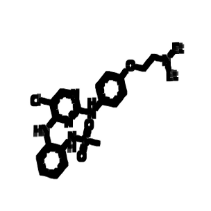 CCN(CC)CCOc1ccc(Nc2ncc(Cl)c(Nc3ccccc3NS(C)(=O)=O)n2)cc1